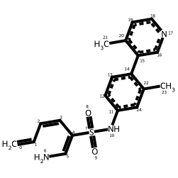 C=C/C=C\C(=C/N)S(=O)(=O)Nc1ccc(-c2cnccc2C)c(C)c1